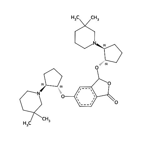 CC1(C)CCCN([C@H]2CCC[C@@H]2Oc2ccc3c(c2)C(O[C@H]2CCC[C@@H]2N2CCCC(C)(C)C2)OC3=O)C1